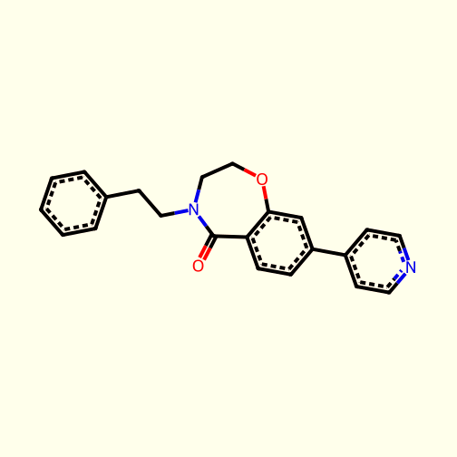 O=C1c2ccc(-c3ccncc3)cc2OCCN1CCc1ccccc1